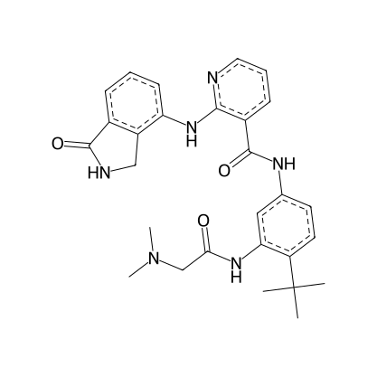 CN(C)CC(=O)Nc1cc(NC(=O)c2cccnc2Nc2cccc3c2CNC3=O)ccc1C(C)(C)C